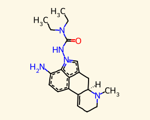 CCN(CC)C(=O)Nn1cc2c3c(ccc(N)c31)C1=CCCN(C)[C@@H]1C2